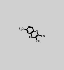 CC1=C(C#N)Sc2ccc(C(F)(F)F)cc2N1